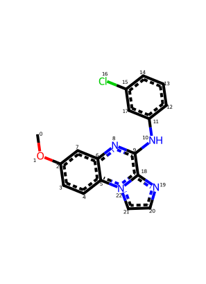 COc1ccc2c(c1)nc(Nc1cccc(Cl)c1)c1nccn12